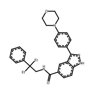 CCC(CC)(CNC(=O)c1ccc2[nH]nc(-c3ccc(N4CCOCC4)cc3)c2c1)c1ccccc1